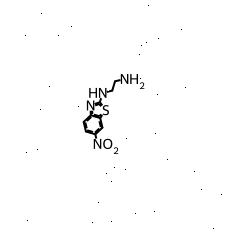 NCCNc1nc2ccc([N+](=O)[O-])cc2s1